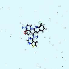 CC(Nc1ncnc2sccc12)c1cc2cccc(Cl)c2nc1N1CCNC(=O)C1